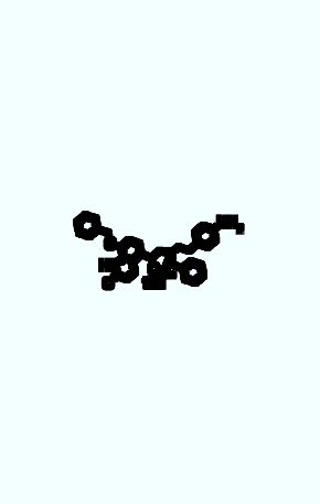 CC(C)(C)[Si](C)(C)OC(CN(CCc1ccc(N)cc1)Cc1ccccc1)c1ccc(OCc2ccccc2)c2[nH]c(=O)ccc12